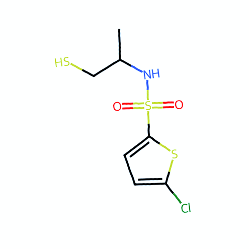 CC(CS)NS(=O)(=O)c1ccc(Cl)s1